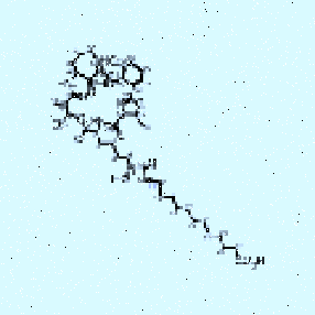 CCC(OC(=O)C(CCCCN(O)C(=O)/C=C/CCCCCCCCCCC(=O)O)NC(=O)C1N=C(c2cccc(O)c2O)OC1C)C(C)C(=O)NC1CCCCN(O)C1=O